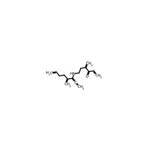 C=C=C(NCCC(=C)C(=O)C=C)C(=C)CCC=C